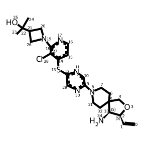 C=C[C@@H]1OCC2(CCN(c3cnc(Sc4ccnc(N5CC(C(C)(C)O)C5)c4Cl)cn3)CC2)[C@@H]1N